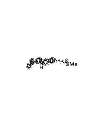 COC(=O)CCCCCCN1CCN(c2ccc(Nc3nccc(-c4cn(C5CCCC5)nn4)n3)cc2)CC1